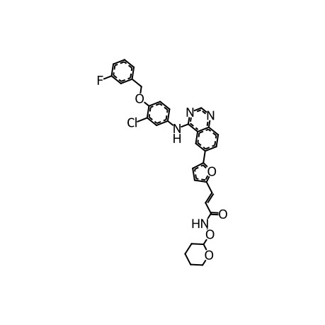 O=C(/C=C/c1ccc(-c2ccc3ncnc(Nc4ccc(OCc5cccc(F)c5)c(Cl)c4)c3c2)o1)NOC1CCCCO1